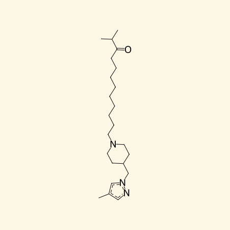 Cc1cnn(CC2CCN(CCCCCCCCCC(=O)C(C)C)CC2)c1